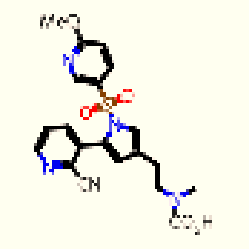 COc1ccc(S(=O)(=O)n2cc(CCN(C)C(=O)O)cc2-c2cccnc2C#N)cn1